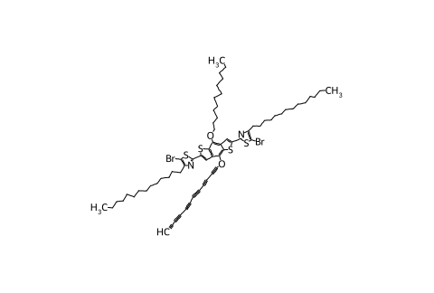 C#CC#CC#CC#CC#CC#COc1c2cc(-c3nc(CCCCCCCCCCCCCC)c(Br)s3)sc2c(OCCCCCCCCCCCC)c2cc(-c3nc(CCCCCCCCCCCCCC)c(Br)s3)sc12